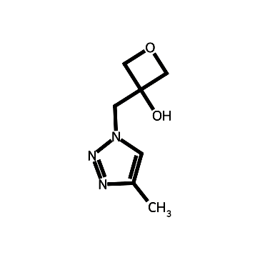 Cc1cn(CC2(O)COC2)nn1